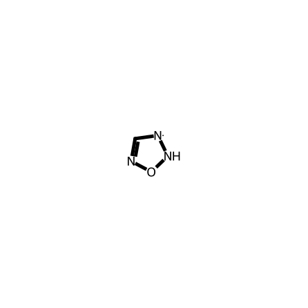 C1=NON[N]1